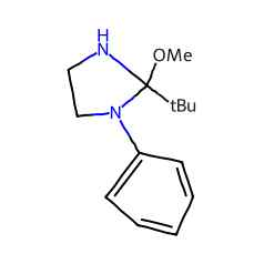 COC1(C(C)(C)C)NCCN1c1ccccc1